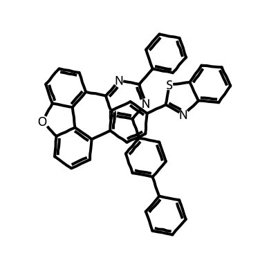 c1ccc(-c2ccc(-c3nc(-c4ccccc4)nc(-c4cccc5oc6cccc(-c7ccc(-c8nc9ccccc9s8)cc7)c6c45)n3)cc2)cc1